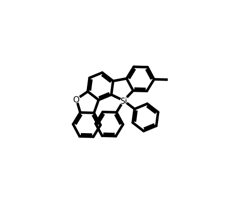 Cc1ccc2c(c1)[Si](c1ccccc1)(c1ccccc1)c1c-2ccc2oc3ccccc3c12